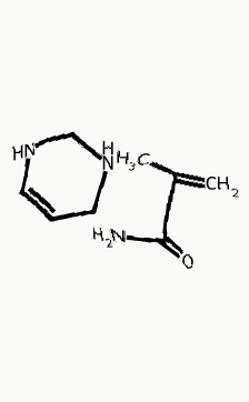 C1=CNCNC1.C=C(C)C(N)=O